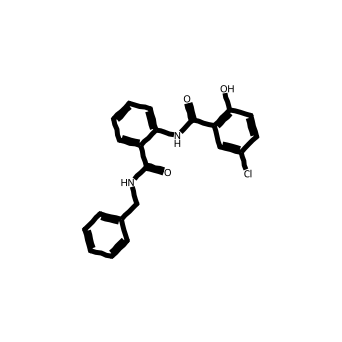 O=C(Nc1ccccc1C(=O)NCc1ccccc1)c1cc(Cl)ccc1O